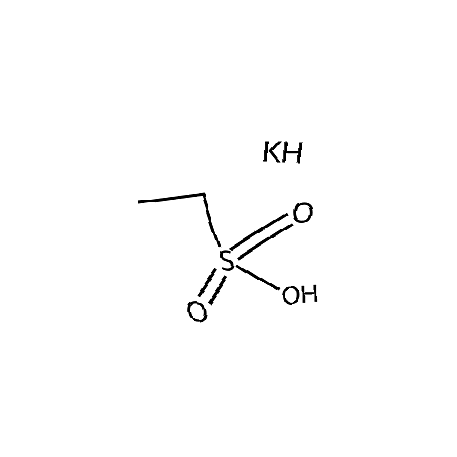 CCS(=O)(=O)O.[KH]